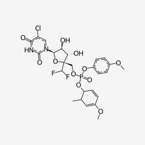 COC1=CC(C)C(OP(=O)(OC[C@@]2(C(F)F)O[C@@H](n3cc(Cl)c(=O)[nH]c3=O)[C@@H](O)[C@@H]2O)Oc2ccc(OC)cc2)C=C1